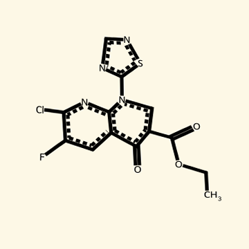 CCOC(=O)c1cn(-c2ncns2)c2nc(Cl)c(F)cc2c1=O